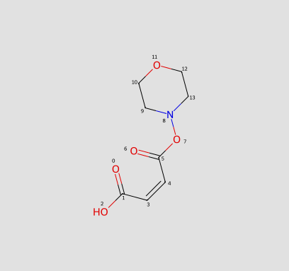 O=C(O)/C=C\C(=O)ON1CCOCC1